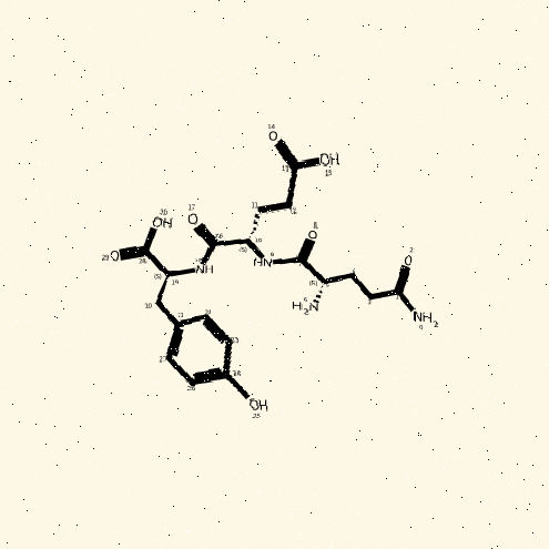 NC(=O)CC[C@H](N)C(=O)N[C@@H](CCC(=O)O)C(=O)N[C@@H](Cc1ccc(O)cc1)C(=O)O